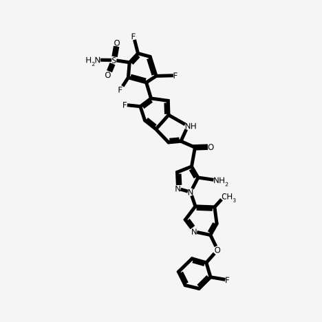 Cc1cc(Oc2ccccc2F)ncc1-n1ncc(C(=O)c2cc3cc(F)c(-c4c(F)cc(F)c(S(N)(=O)=O)c4F)cc3[nH]2)c1N